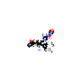 Cc1cc(C)cc(-c2[nH]c3sc(C(C)(C)C(=O)N4C5CCC4CC5)cc3c2CCN2CCC(NC(=O)N3CCOCC3)CC2)c1